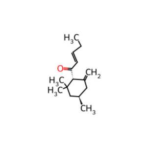 C=C1C[C@@H](C)CC(C)(C)[C@@H]1C(=O)/C=C/CC